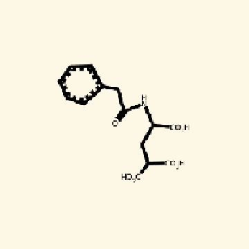 O=C(Cc1ccccc1)NC(CC(C(=O)O)C(=O)O)C(=O)O